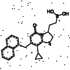 O=c1cc(Cc2cccc3ccccc23)c(C2CC2)c2n1C(CCB(O)O)CS2